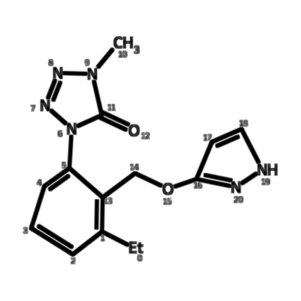 CCc1cccc(-n2nnn(C)c2=O)c1COc1cc[nH]n1